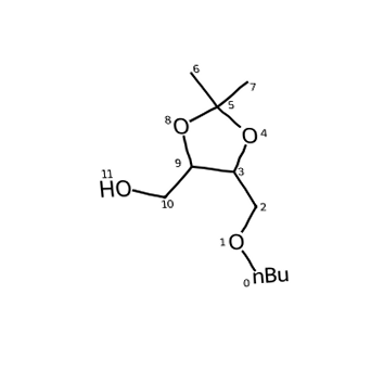 CCCCOCC1OC(C)(C)OC1CO